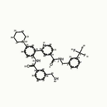 O=C(NCc1cccc(C(F)(F)F)c1)c1ccnc(-c2cc(N3CCCCC3)ccc2NC(=O)c2cccc(CS)c2)c1